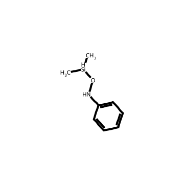 C[SiH](C)ONc1ccccc1